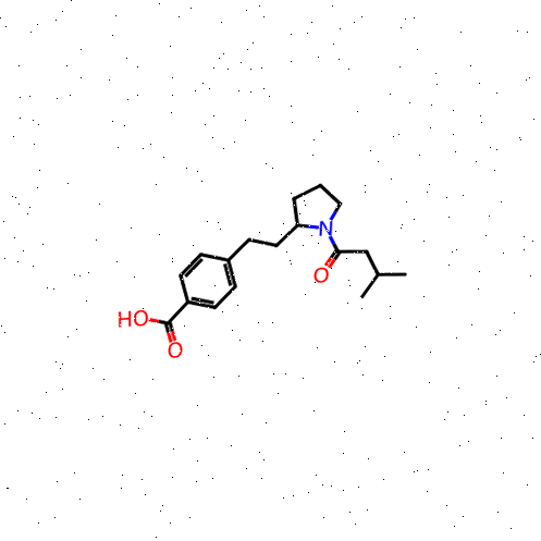 CC(C)CC(=O)N1CCCC1CCc1ccc(C(=O)O)cc1